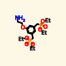 CCOP(=O)(Cc1cc(CP(=O)(OCC)OCC)cc(OCCN)c1)OCC